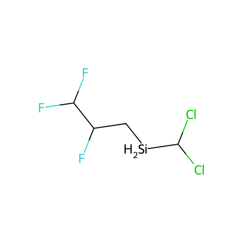 FC(F)C(F)C[SiH2]C(Cl)Cl